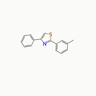 Cc1cccc(-c2nc(-c3ccccc3)cs2)c1